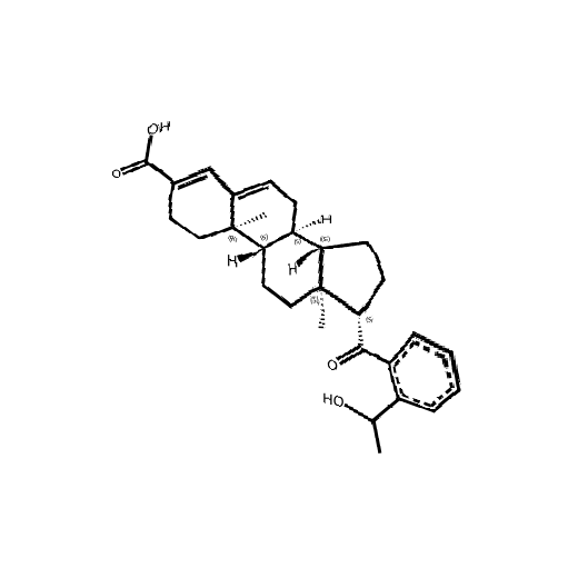 CC(O)c1ccccc1C(=O)[C@H]1CC[C@H]2[C@@H]3CC=C4C=C(C(=O)O)CC[C@]4(C)[C@H]3CC[C@]12C